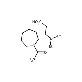 CCN(CC)CCC(=O)O.NC(=O)N1CCCCCC1